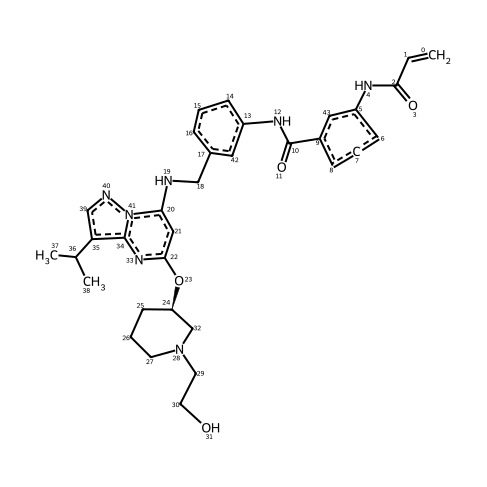 C=CC(=O)Nc1cccc(C(=O)Nc2cccc(CNc3cc(O[C@@H]4CCCN(CCO)C4)nc4c(C(C)C)cnn34)c2)c1